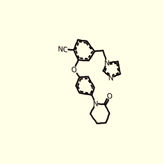 N#Cc1ccc(Cn2ccnc2)cc1Oc1ccc(N2CCCCC2=O)cc1